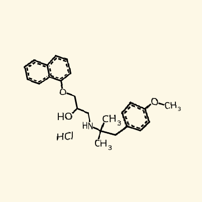 COc1ccc(CC(C)(C)NCC(O)COc2cccc3ccccc23)cc1.Cl